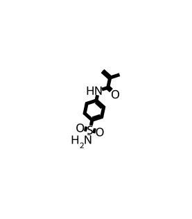 C=C(C)C(=O)NC1=CC=C(S(N)(=O)=O)CC1